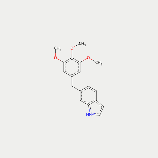 COc1cc(Cc2ccc3c[c][nH]c3c2)cc(OC)c1OC